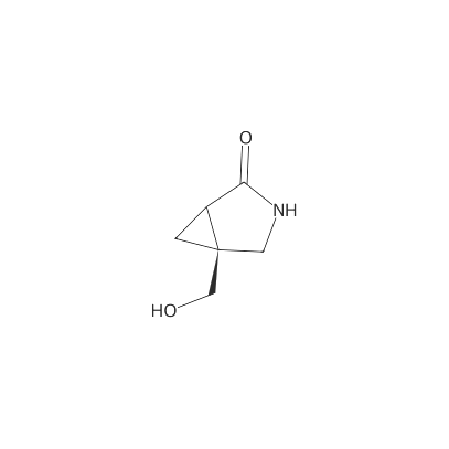 O=C1NC[C@]2(CO)CC12